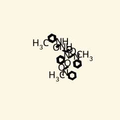 Cc1cccc(NC(=O)NCC(=O)N(CC(=O)N(C)c2ccccc2)c2ccccc2OCC(=O)N(C)C2CCCCC2)c1